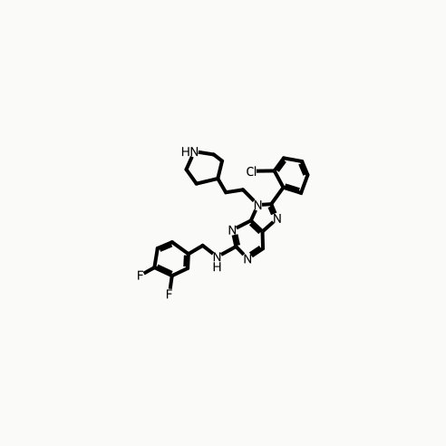 Fc1ccc(CNc2ncc3nc(-c4ccccc4Cl)n(CCC4CCNCC4)c3n2)cc1F